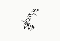 COc1nc(Oc2ccc(C(C)CNC(=O)O)cc2)cnc1N(COCC[Si](C)(C)C)S(=O)(=O)c1cccc(Cl)c1Cl